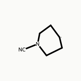 N#CN1CC[CH]CC1